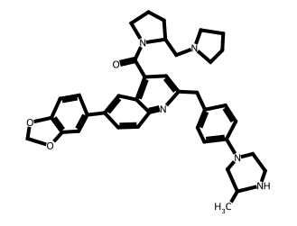 CC1CN(c2ccc(Cc3cc(C(=O)N4CCCC4CN4CCCC4)c4cc(-c5ccc6c(c5)OCO6)ccc4n3)cc2)CCN1